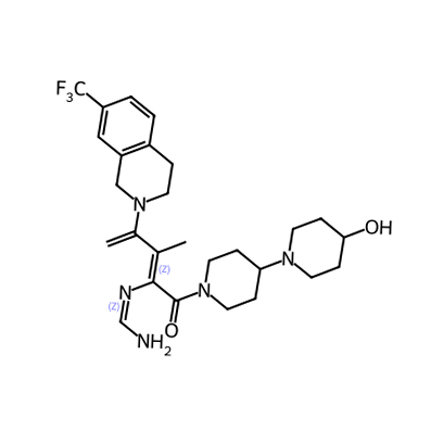 C=C(/C(C)=C(\N=C/N)C(=O)N1CCC(N2CCC(O)CC2)CC1)N1CCc2ccc(C(F)(F)F)cc2C1